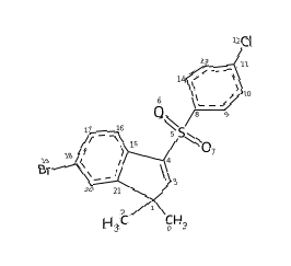 CC1(C)C=C(S(=O)(=O)c2ccc(Cl)cc2)c2ccc(Br)cc21